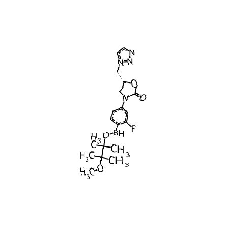 COC(C)(C)C(C)(C)OBc1ccc(N2C[C@H](Cn3ccnn3)OC2=O)cc1F